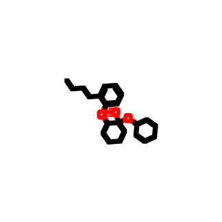 CCCCc1ccccc1OC1CCCCC1(O)OC1CCCCC1